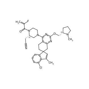 C=C(F)C(=O)N1CCN(c2nc(OC[C@@H]3CCCN3C)nc3c2CCC2(C=C(C)c4c(Cl)cccc42)C3)C[C@@H]1CC#N